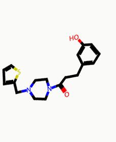 O=C(CCc1cccc(O)c1)N1CCN(Cc2cccs2)CC1